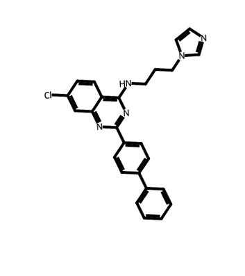 Clc1ccc2c(NCCCn3ccnc3)nc(-c3ccc(-c4ccccc4)cc3)nc2c1